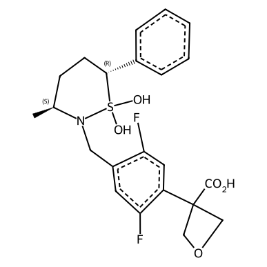 C[C@H]1CC[C@H](c2ccccc2)S(O)(O)N1Cc1cc(F)c(C2(C(=O)O)COC2)cc1F